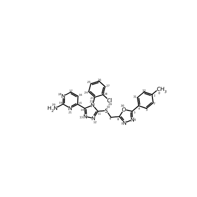 Cc1ccc(-c2nnc(CSc3nnc(-c4ccnc(N)n4)n3-c3ccccc3Cl)o2)cc1